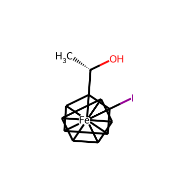 C[C@H](O)[C]12[CH]3[CH]4[CH]5[C]1(I)[Fe]45321678[CH]2[CH]1[CH]6[CH]7[CH]28